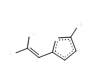 CC(=O)/C(=C/c1ccc(Cl)s1)C(C)C